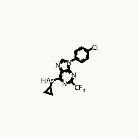 FC(F)(F)c1nc([AsH]C2CC2)c2ncn(-c3ccc(Cl)cc3)c2n1